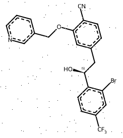 N#Cc1ccc(C[C@H](O)c2ccc(C(F)(F)F)cc2Br)cc1OCc1cccnc1